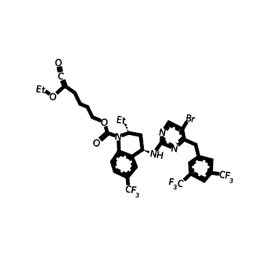 CCOC(=C=O)CCCCOC(=O)N1c2ccc(C(F)(F)F)cc2[C@@H](Nc2ncc(Br)c(Cc3cc(C(F)(F)F)cc(C(F)(F)F)c3)n2)C[C@H]1CC